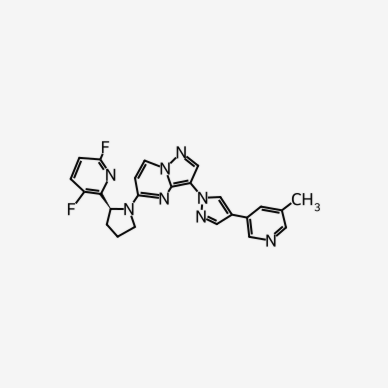 Cc1cncc(-c2cnn(-c3cnn4ccc(N5CCC[C@H]5c5nc(F)ccc5F)nc34)c2)c1